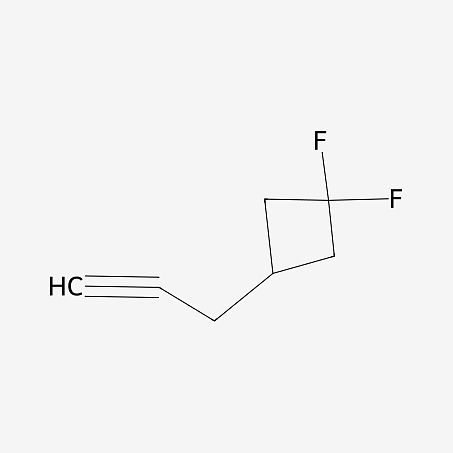 C#CCC1CC(F)(F)C1